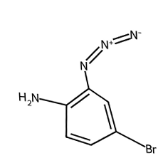 [N-]=[N+]=Nc1cc(Br)ccc1N